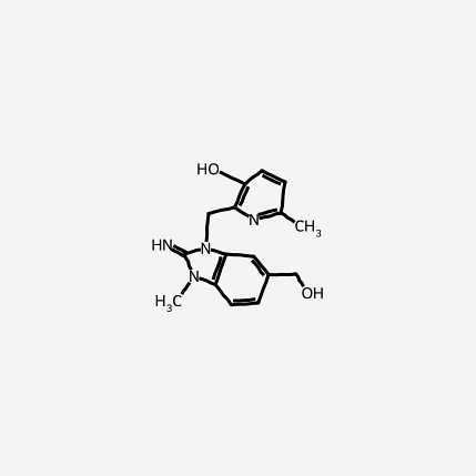 Cc1ccc(O)c(Cn2c(=N)n(C)c3ccc(CO)cc32)n1